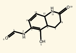 O=CNC1=C(O)C2CCC(=O)NC2C=C1